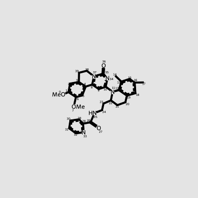 COc1cc2c(cc1OC)-c1cc(N3c4c(C)cc(C)cc4CCC3CCNC(=O)c3ccccn3)nc(=O)n1CC2